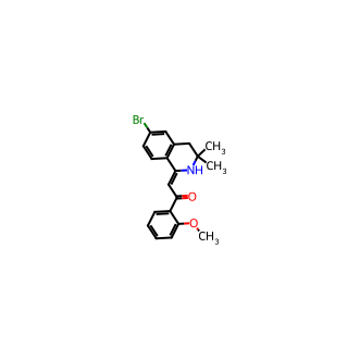 COc1ccccc1C(=O)C=C1NC(C)(C)Cc2cc(Br)ccc21